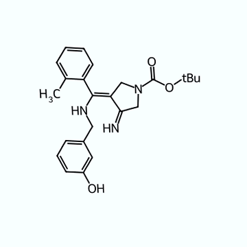 Cc1ccccc1/C(NCc1cccc(O)c1)=C1\CN(C(=O)OC(C)(C)C)CC1=N